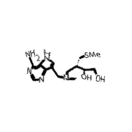 CSC[C@@H](CN(C)Cc1c[nH]c2c(N)ncnc12)[C@H](O)CO